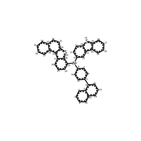 c1ccc2c(-c3ccc(N(c4ccc5sc6ccccc6c5c4)c4cccc5c4sc4ccc6ccccc6c45)cc3)cccc2c1